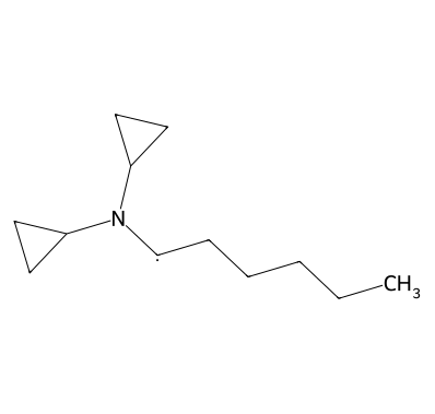 CCCCC[CH]N(C1CC1)C1CC1